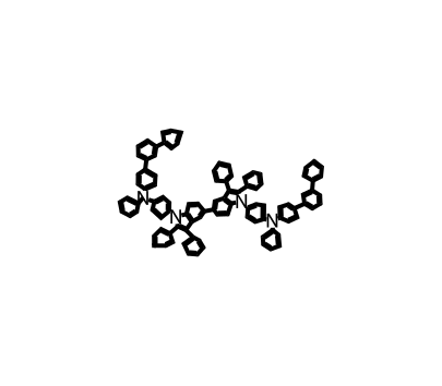 c1ccc(-c2cccc(-c3ccc(N(c4ccccc4)c4ccc(-n5c(-c6ccccc6)c(-c6ccccc6)c6cc(-c7ccc8c(c7)c(-c7ccccc7)c(-c7ccccc7)n8-c7ccc(N(c8ccccc8)c8ccc(-c9cccc(-c%10ccccc%10)c9)cc8)cc7)ccc65)cc4)cc3)c2)cc1